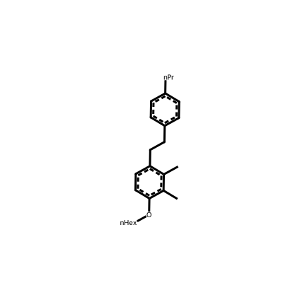 CCCCCCOc1ccc(CCc2ccc(CCC)cc2)c(C)c1C